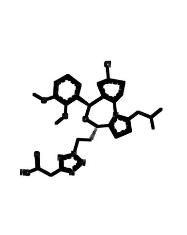 COc1cccc([C@@H]2O[C@@H](CCn3nnc(CC(=O)O)n3)c3ccc(CC(C)C)n3-c3ccc(Cl)cc32)c1OC